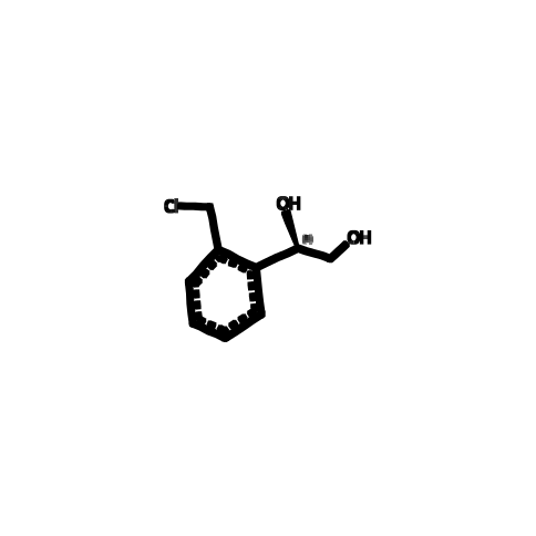 OC[C@H](O)c1ccccc1CCl